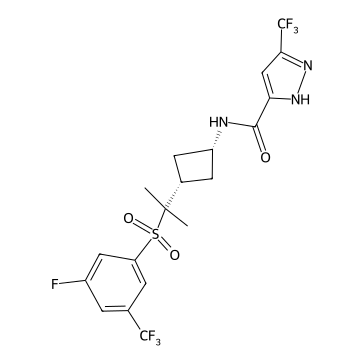 CC(C)([C@H]1C[C@@H](NC(=O)c2cc(C(F)(F)F)n[nH]2)C1)S(=O)(=O)c1cc(F)cc(C(F)(F)F)c1